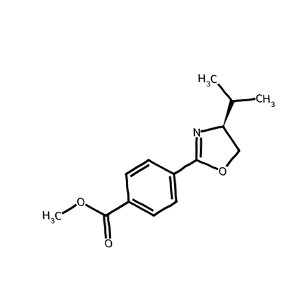 COC(=O)c1ccc(C2=N[C@@H](C(C)C)CO2)cc1